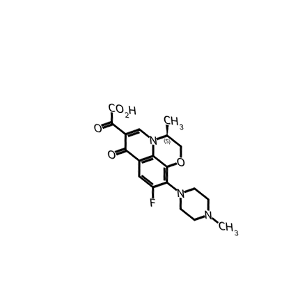 C[C@H]1COc2c(N3CCN(C)CC3)c(F)cc3c(=O)c(C(=O)C(=O)O)cn1c23